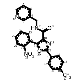 O=C(NCc1cccnc1)c1nc(-c2ccc(C(F)(F)F)cc2)oc1-c1ccccc1[N+](=O)[O-]